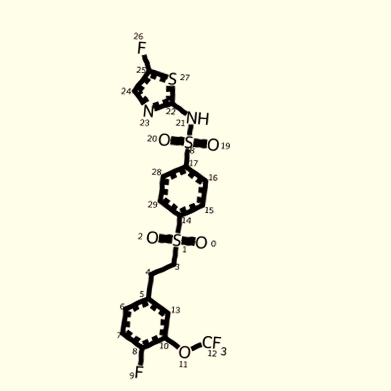 O=S(=O)(CCc1ccc(F)c(OC(F)(F)F)c1)c1ccc(S(=O)(=O)Nc2ncc(F)s2)cc1